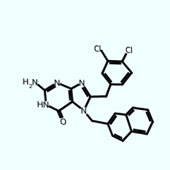 Nc1nc2nc(Cc3ccc(Cl)c(Cl)c3)n(Cc3ccc4ccccc4c3)c2c(=O)[nH]1